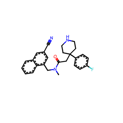 CN(Cc1cc(C#N)cc2ccccc12)C(=O)CC1(c2ccc(F)cc2)CCNCC1